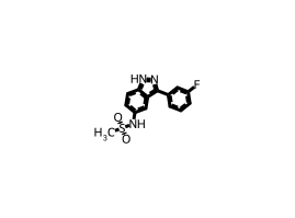 CS(=O)(=O)Nc1ccc2[nH]nc(-c3cccc(F)c3)c2c1